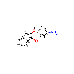 Nc1ccc(OC2=Cc3ccccc3C2=O)cc1